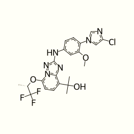 COc1cc(Nc2nc3c(C(C)(C)O)ccc(O[C@@H](C)C(F)(F)F)n3n2)ccc1-n1cnc(Cl)c1